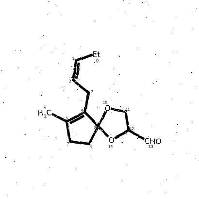 CC/C=C\CC1=C(C)CCC12OCC(C=O)O2